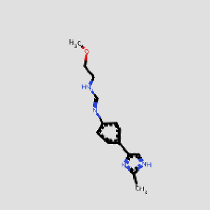 COCCN/C=N/c1ccc(-c2c[nH]c(C)n2)cc1